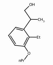 CCCOc1cccc([C](C)CO)c1CC